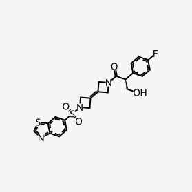 O=C([C@H](CO)c1ccc(F)cc1)N1CC(=C2CN(S(=O)(=O)c3ccc4ncsc4c3)C2)C1